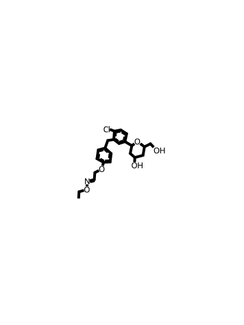 CCO/N=C/COc1ccc(Cc2cc(C3CC(O)CC(CO)O3)ccc2Cl)cc1